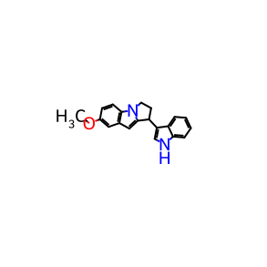 COc1ccc2c(c1)cc1n2CCC1c1c[nH]c2ccccc12